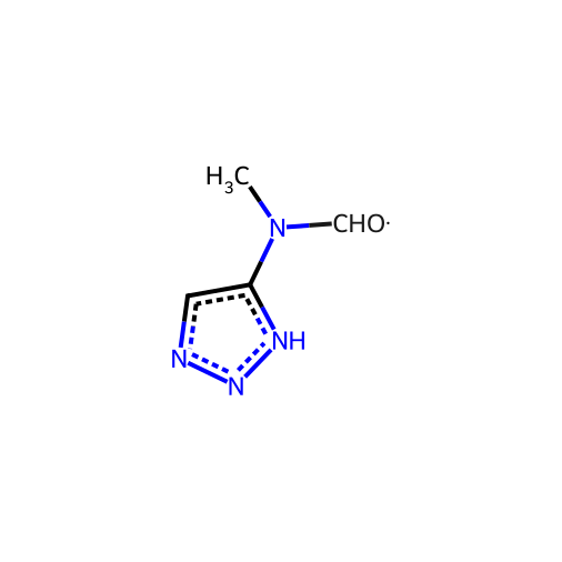 CN([C]=O)c1cnn[nH]1